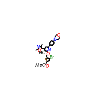 COC(=O)c1cc(Br)c(COc2nc(-c3ccc(N4CCOCC4)cc3)cc(-c3oc(C)nc3C)c2C#N)s1